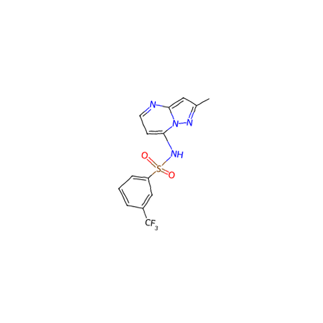 Cc1cc2nccc(NS(=O)(=O)c3cccc(C(F)(F)F)c3)n2n1